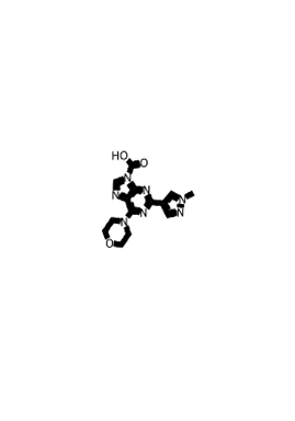 Cn1cc(-c2nc(N3CCOCC3)c3ncn(C(=O)O)c3n2)cn1